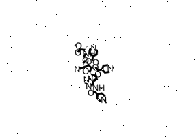 COC(=O)[C@H](C)NCOC[C@@]1(C#N)O[C@@H](c2ccc3c(NC(=O)C4CCN(C)CC4)ncnn23)[C@H](OC(=O)C2CCN(C)CC2)[C@@H]1OC(=O)C1CCN(C)CC1